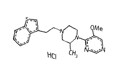 COc1cncnc1N1CCN(CCc2csc3ccccc23)CC1C.Cl